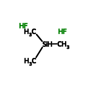 C[SiH](C)C.F.F